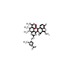 C[C@H](c1cccnc1N)N(C)c1nc(OC[C@@H]2C[C@@H](C(F)F)CN2C)nc2c(F)c(-c3ccc(F)c4sc(N)c(C#N)c34)c(Cl)cc12